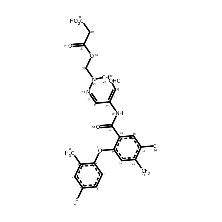 Cc1cc(F)ccc1Oc1cc(C(F)(F)F)c(Cl)cc1C(=O)NC(/C=N\N(C)COC(=O)CC(=O)O)=C/C=O